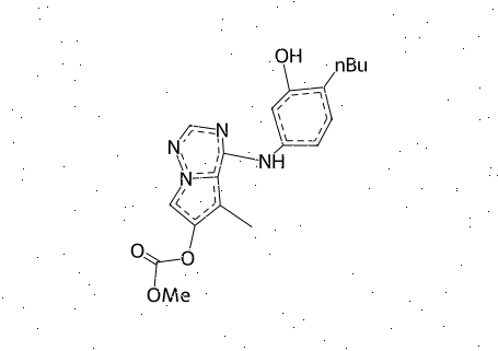 CCCCc1ccc(Nc2ncnn3cc(OC(=O)OC)c(C)c23)cc1O